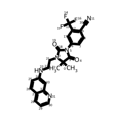 CC1(C)C(=O)N(c2ccc(C#N)c(C(F)(F)F)c2)C(=O)N1CCNc1ccc2cccnc2c1